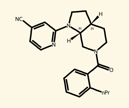 CCCc1ccccc1C(=O)N1CC[C@H]2CCN(c3cc(C#N)ccn3)[C@H]2C1